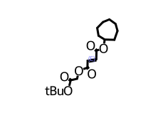 CC(C)(C)OC(=O)COC(=O)/C=C/C(=O)OC1CCCCCCC1